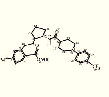 COC(=O)c1ccc(Cl)cc1CC[C@H]1CCC[C@@H]1NC(=O)C1CCN(c2ccc(C(F)(F)F)cc2)CC1